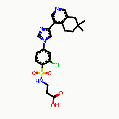 CC1(C)CCc2c(cncc2-c2cn(-c3ccc(S(=O)(=O)NCCC(=O)O)c(Cl)c3)cn2)C1